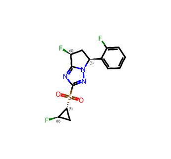 O=S(=O)(c1nc2n(n1)[C@H](c1ccccc1F)C[C@@H]2F)[C@@H]1C[C@H]1F